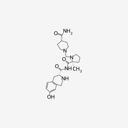 C[C@@]1(C(=O)NC(=O)[C@H]2Cc3ccc(O)cc3CN2)CCCN1CN1CCC(C(N)=O)CC1